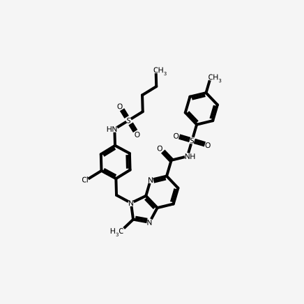 CCCCS(=O)(=O)Nc1ccc(Cn2c(C)nc3ccc(C(=O)NS(=O)(=O)c4ccc(C)cc4)nc32)c(Cl)c1